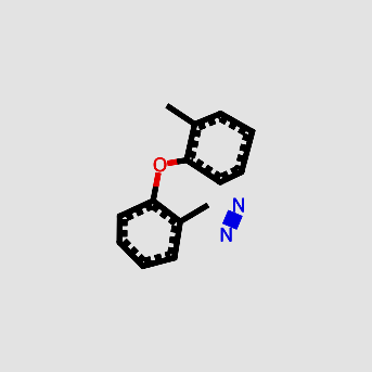 Cc1ccccc1Oc1ccccc1C.N#N